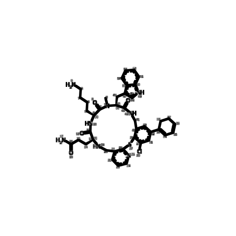 CN1C(=O)[C@H](CCCCN)NC(=O)[C@H](CCC(N)=O)NCc2cccnc2Sc2c(Cl)cc(C3=CC=CCC3)cc2CNC(=O)[C@@H]1Cc1c[nH]c2ccccc12